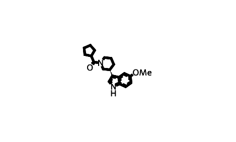 COc1ccc2[nH]cc([C@H]3CCCN(C(=O)C4CCCC4)C3)c2c1